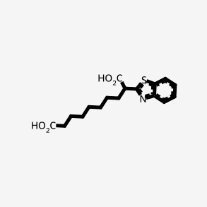 O=C(O)CCCCCCCC(C(=O)O)c1nc2ccccc2s1